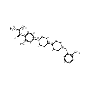 Cc1ccccc1SN1CCC(C2CCN(c3ccc(C(=O)N(C)C)c(Cl)c3)CC2)CC1